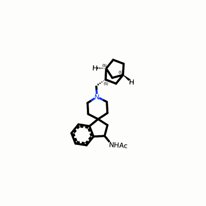 CC(=O)NC1CC2(CCN(C[C@H]3C[C@H]4CC[C@H]3C4)CC2)c2ccccc21